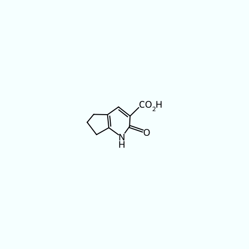 O=C(O)c1cc2c([nH]c1=O)CCC2